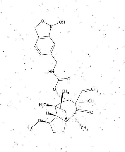 C=C[C@]1(C)C[C@@H](OC(=O)NCc2ccc3c(c2)B(O)OC3)[C@]2(C)[C@H](C)CC[C@]3(CC[C@@H](OC)[C@@H]32)[C@@H](C)C1=O